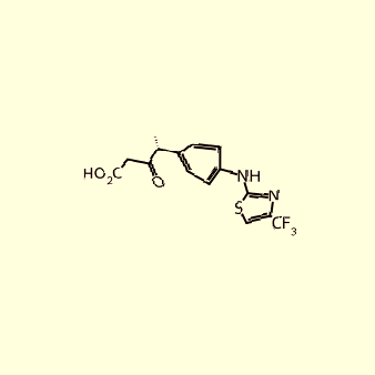 C[C@@H](C(=O)CC(=O)O)c1ccc(Nc2nc(C(F)(F)F)cs2)cc1